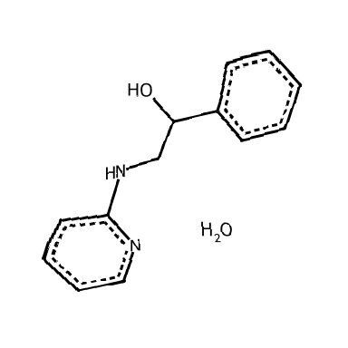 O.OC(CNc1ccccn1)c1ccccc1